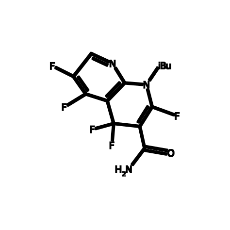 CCC(C)N1C(F)=C(C(N)=O)C(F)(F)c2c1ncc(F)c2F